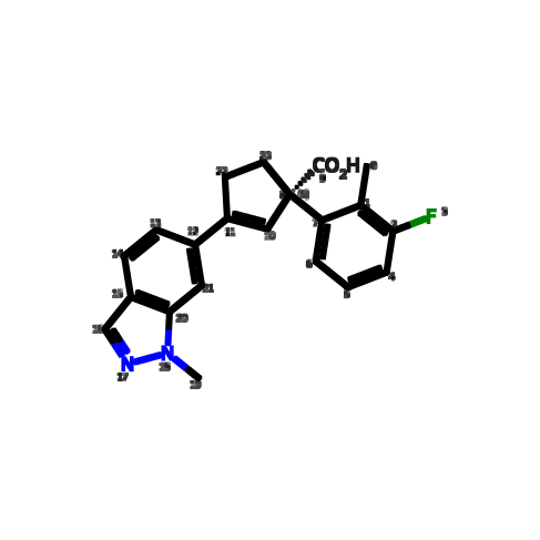 Cc1c(F)cccc1[C@@]1(C(=O)O)C=C(c2ccc3cnn(C)c3c2)CC1